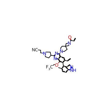 C=CC(=O)N1CC2(CCN(c3nc(C4CCN(CCC#N)CC4)nc4c(OCC(F)(F)F)c(-c5c(C)ccc6[nH]ncc56)c(C=C)cc34)CC2)C1